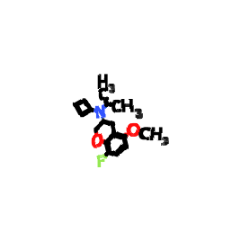 COc1ccc(F)c2c1C[C@@H](N(C(C)C)C1CCC1)CO2